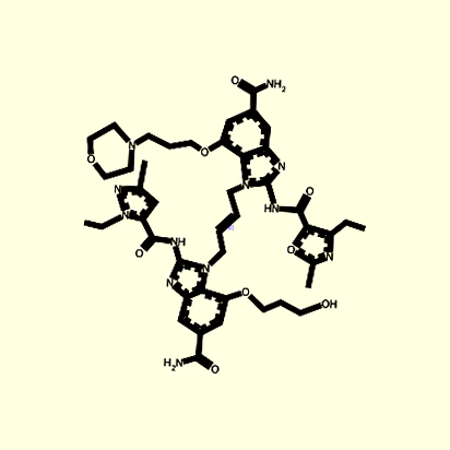 CCc1nc(C)oc1C(=O)Nc1nc2cc(C(N)=O)cc(OCCCN3CCOCC3)c2n1C/C=C/Cn1c(NC(=O)c2cc(C)nn2CC)nc2cc(C(N)=O)cc(OCCCO)c21